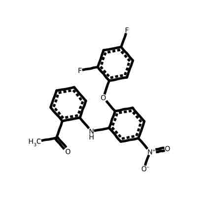 CC(=O)c1ccccc1Nc1cc([N+](=O)[O-])ccc1Oc1ccc(F)cc1F